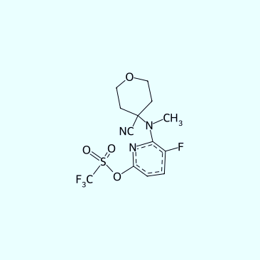 CN(c1nc(OS(=O)(=O)C(F)(F)F)ccc1F)C1(C#N)CCOCC1